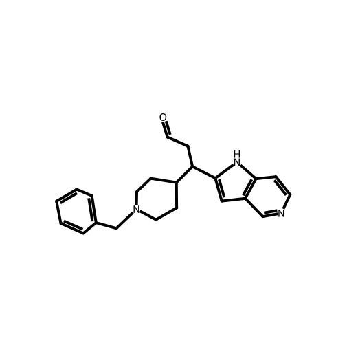 O=CCC(c1cc2cnccc2[nH]1)C1CCN(Cc2ccccc2)CC1